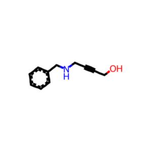 OCC#CCNCc1ccccc1